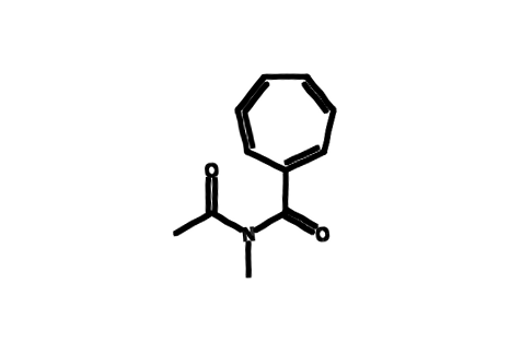 CC(=O)N(C)C(=O)C1=CC=CC=C=C1